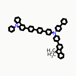 CC1(C)c2ccccc2-c2ccc(-c3ccc(N(c4ccc(-c5ccccc5)cc4)c4ccc(-c5ccc(-c6ccc(-c7ccc8c(c7)c7ccccc7n8-c7ccccc7)cc6)cc5)cc4)cc3)cc21